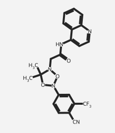 CC1(C)ON(c2ccc(C#N)c(C(F)(F)F)c2)ON1CC(=O)Nc1ccnc2ccccc12